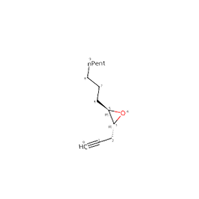 C#CC[C@H]1O[C@@H]1CCCCCCCC